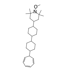 CON1C(C)(C)CC(C2CCC(C3CCC(C4C=CC=CC=C4)CC3)CC2)CC1(C)C